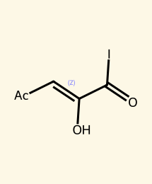 CC(=O)/C=C(\O)C(=O)I